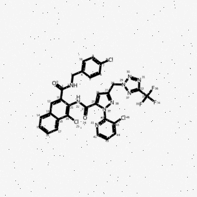 O=C(NCc1ccc(Cl)cc1)c1cc2ccccc2c(Cl)c1NC(=O)c1cc(Cn2nnc(C(F)(F)F)n2)nn1-c1ncccc1Cl